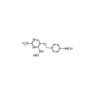 C#Cc1ccc(COc2cnc(N)nc2NCCCC)cc1